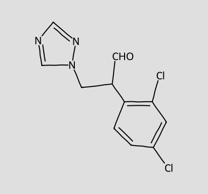 O=CC(Cn1cncn1)c1ccc(Cl)cc1Cl